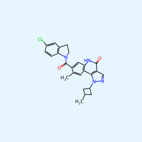 Cc1cc2c(cc1C(=O)N1CCc3cc(Cl)ccc31)[nH]c(=O)c1cnn(C3CC(C)C3)c12